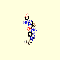 Cn1cnc2c(NC(=O)c3csc4cnc(NC5CCOCC5)nc34)cccc21